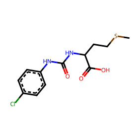 CSCCC(NC(=O)Nc1ccc(Cl)cc1)C(=O)O